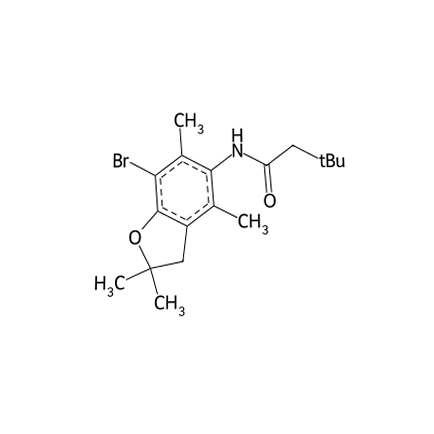 Cc1c(Br)c2c(c(C)c1NC(=O)CC(C)(C)C)CC(C)(C)O2